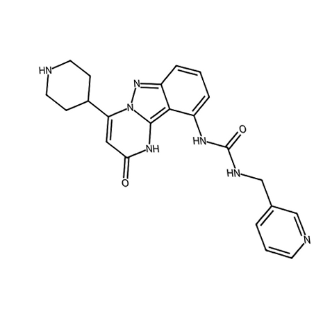 O=C(NCc1cccnc1)Nc1cccc2nn3c(C4CCNCC4)cc(=O)[nH]c3c12